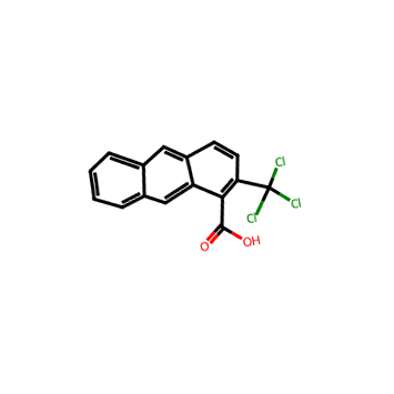 O=C(O)c1c(C(Cl)(Cl)Cl)ccc2cc3ccccc3cc12